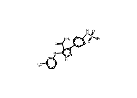 CC(C)S(=O)(=O)Nc1ccc(-c2n[nH]c(Nc3cccc(C(F)(F)F)n3)c2C(N)=O)cc1